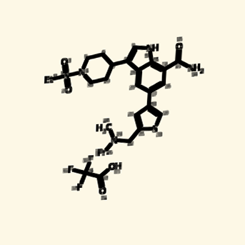 CCS(=O)(=O)N1CCC(c2c[nH]c3c(C(N)=O)cc(-c4csc(CN(C)C(C)C)c4)cc23)CC1.O=C(O)C(F)(F)F